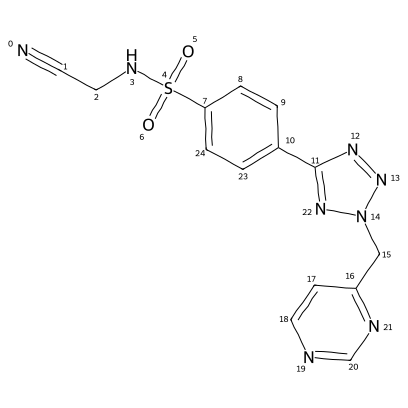 N#CCNS(=O)(=O)c1ccc(-c2nnn(Cc3ccncn3)n2)cc1